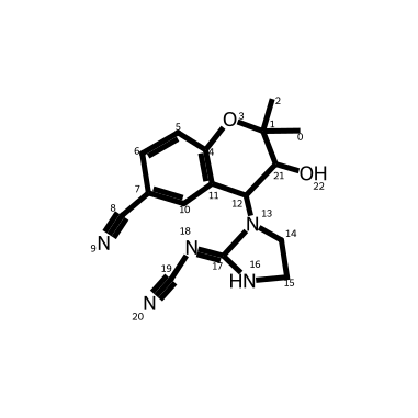 CC1(C)Oc2ccc(C#N)cc2C(N2CCN/C2=N\C#N)C1O